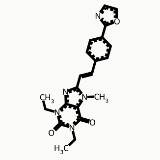 CCn1c(=O)c2c(nc(C=Cc3ccc(-c4ncco4)cc3)n2C)n(CC)c1=O